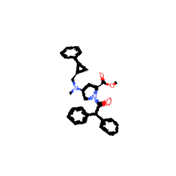 COC(=O)[C@@H]1C[C@H](N(C)C[C@@H]2CC2c2ccccc2)CN1C(=O)C(c1ccccc1)c1ccccc1